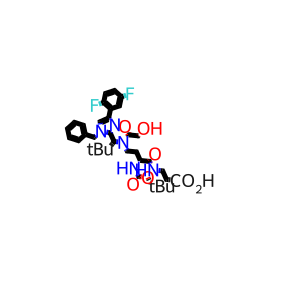 CC(C)(C)OC(=O)NC(CCN(C(=O)CO)C(c1nc(-c2cc(F)ccc2F)cn1Cc1ccccc1)C(C)(C)C)C(=O)NCCC(=O)O